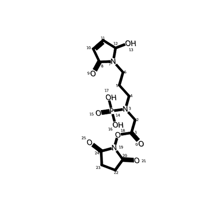 O=C(CN(CCCN1C(=O)C=CC1O)P(=O)(O)O)ON1C(=O)CCC1=O